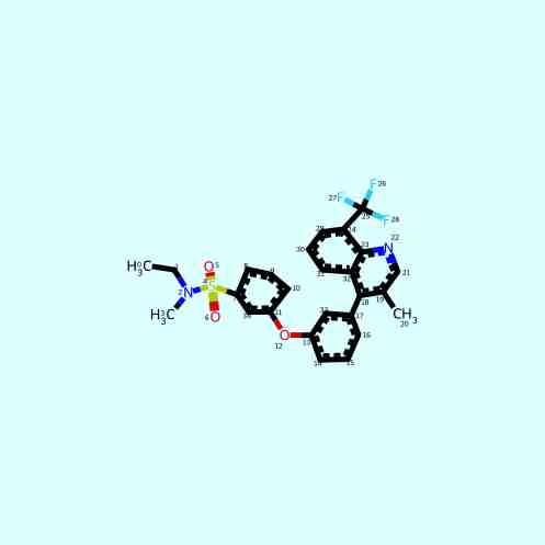 CCN(C)S(=O)(=O)c1cccc(Oc2cccc(-c3c(C)cnc4c(C(F)(F)F)cccc34)c2)c1